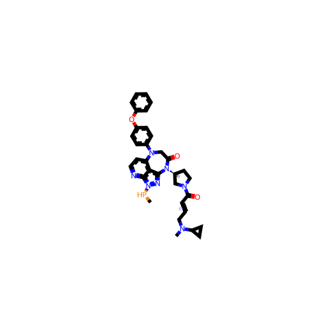 CPn1nc2c3c(ccnc31)N(c1ccc(Oc3ccccc3)cc1)CC(=O)N2[C@@H]1CCN(C(=O)/C=C/CN(C)C2CC2)C1